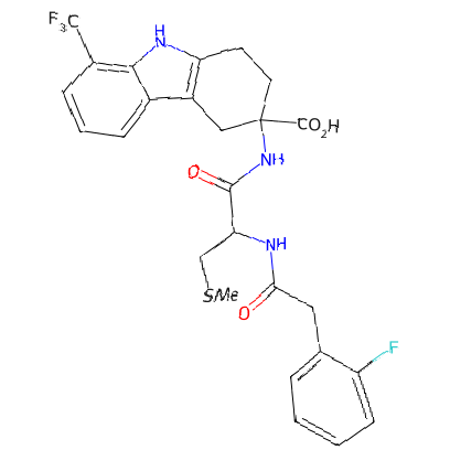 CSCC(NC(=O)Cc1ccccc1F)C(=O)NC1(C(=O)O)CCc2[nH]c3c(C(F)(F)F)cccc3c2C1